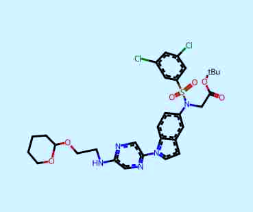 CC(C)(C)OC(=O)CN(c1ccc2c(ccn2-c2cnc(NCCOC3CCCCO3)cn2)c1)S(=O)(=O)c1cc(Cl)cc(Cl)c1